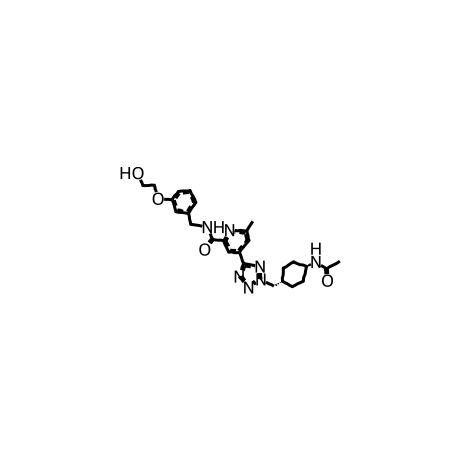 CC(=O)N[C@H]1CC[C@H](Cn2nnc(-c3cc(C)nc(C(=O)NCc4cccc(OCCO)c4)c3)n2)CC1